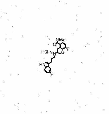 CCCN(CCCc1c[nH]c2ccc(F)cc12)C1COc2c(F)ccc(C(=O)NC)c2C1.Cl